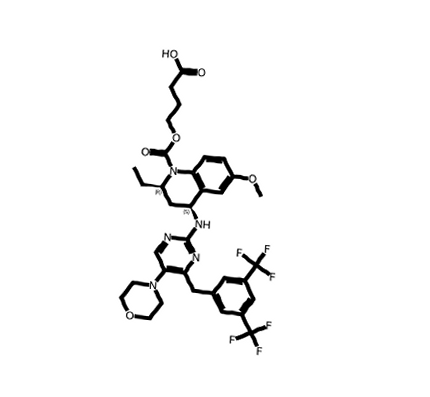 CC[C@@H]1C[C@H](Nc2ncc(N3CCOCC3)c(Cc3cc(C(F)(F)F)cc(C(F)(F)F)c3)n2)c2cc(OC)ccc2N1C(=O)OCCCC(=O)O